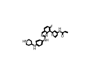 C=CC(=O)Nc1ccnc(-c2c(F)ccc3cnc(Nc4ccc(NC5CCNCC5)cc4)nc23)c1